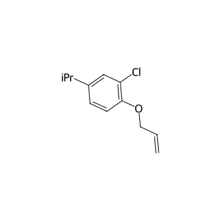 C=CCOc1ccc(C(C)C)cc1Cl